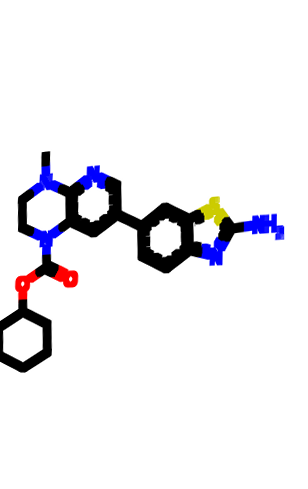 CN1CCN(C(=O)OC2CCCCC2)c2cc(-c3ccc4nc(N)sc4c3)cnc21